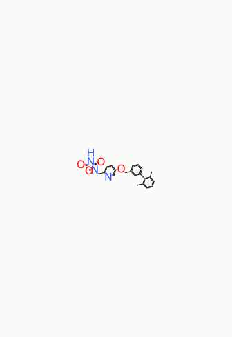 Cc1cccc(C)c1-c1cccc(COc2ccc(Cn3oc(=O)[nH]c3=O)nc2)c1